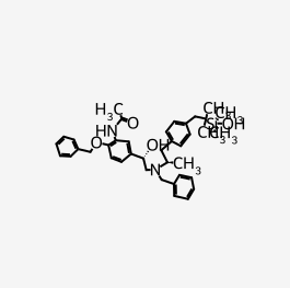 CC(=O)Nc1cc([C@H](O)CN(Cc2ccccc2)[C@H](C)Cc2ccc(CC(C)(C)[Si](C)(C)O)cc2)ccc1OCc1ccccc1